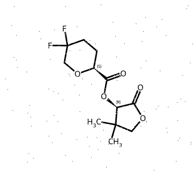 CC1(C)COC(=O)[C@@H]1OC(=O)[C@@H]1CCC(F)(F)CO1